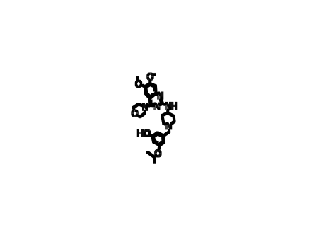 COc1cc2nc(NC3CCN(Cc4cc(O)cc(OC(C)C)c4)CC3)nc(N3CCOCC3)c2cc1OC